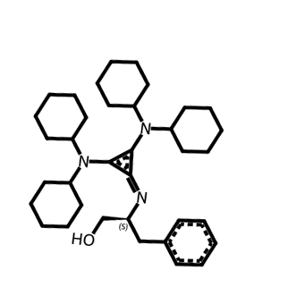 OC[C@H](Cc1ccccc1)N=c1c(N(C2CCCCC2)C2CCCCC2)c1N(C1CCCCC1)C1CCCCC1